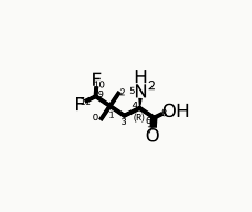 CC(C)(C[C@@H](N)C(=O)O)C(F)F